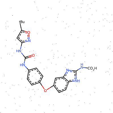 CC(C)(C)c1cc(NC(=O)Nc2ccc(Oc3ccc4[nH]c(NC(=O)O)nc4c3)cc2)no1